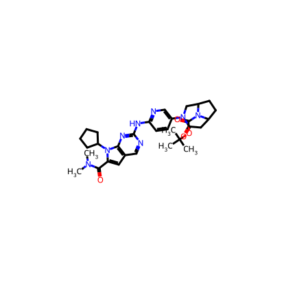 CN(C)C(=O)c1cc2cnc(Nc3ccc(N4CC5CCC(CC4=O)N5C(=O)OC(C)(C)C)cn3)nc2n1C1CCCC1